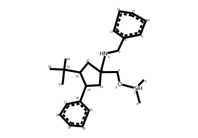 C[SiH](C)OCC1(NCc2ccccc2)CC(c2ccccc2)C(C(C)(C)C)C1